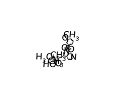 COc1cccc(S(=O)(=O)n2cc(CCN(C(=O)O)C(C)(C)C)c3ccncc32)c1